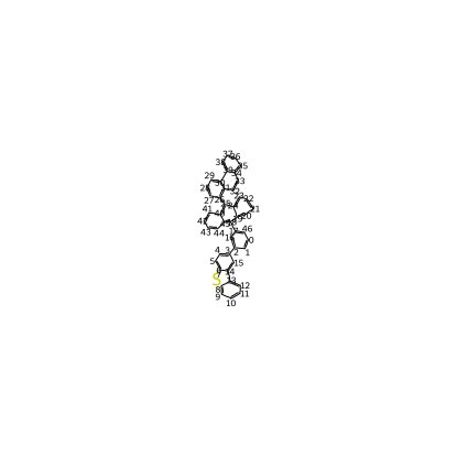 c1cc(-c2ccc3sc4ccccc4c3c2)cc(-c2c3ccccc3c(-c3cccc4c3ccc3ccccc34)c3ccccc23)c1